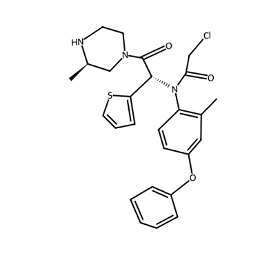 Cc1cc(Oc2ccccc2)ccc1N(C(=O)CCl)[C@@H](C(=O)N1CCN[C@H](C)C1)c1cccs1